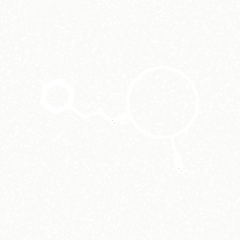 N#CC1CCCCCCCCC/C(=N\OCc2ccccc2)CC1